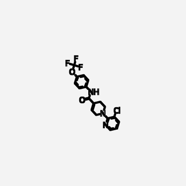 O=C(Nc1ccc(OC(F)(F)F)cc1)C1=CCN(c2ncccc2Cl)CC1